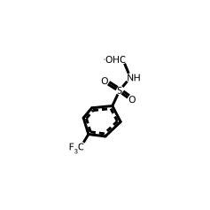 O=[C]NS(=O)(=O)c1ccc(C(F)(F)F)cc1